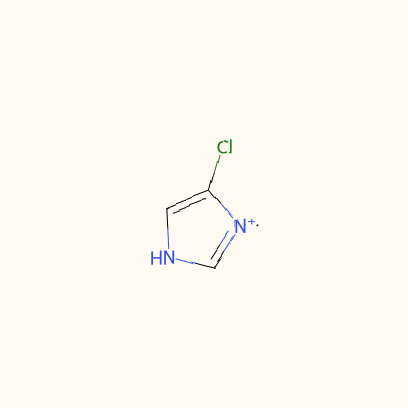 ClC1=CNC=[N+]1